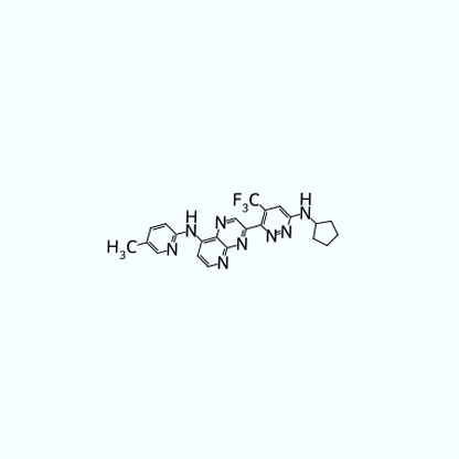 Cc1ccc(Nc2ccnc3nc(-c4nnc(NC5CCCC5)cc4C(F)(F)F)cnc23)nc1